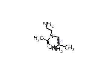 C=C(C)N(/C=C(/C)N)CCN